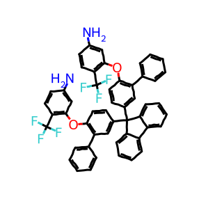 Nc1ccc(C(F)(F)F)c(Oc2ccc(C3(c4ccc(Oc5cc(N)ccc5C(F)(F)F)c(-c5ccccc5)c4)c4ccccc4-c4ccccc43)cc2-c2ccccc2)c1